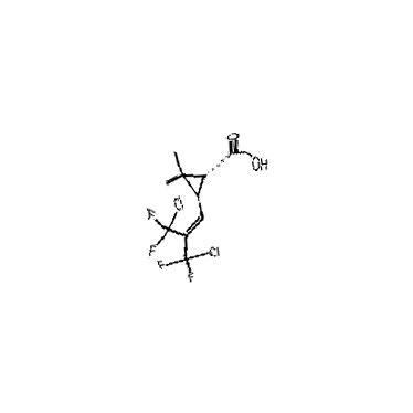 CC1(C)[C@H](C=C(C(F)(F)Cl)C(F)(F)Cl)[C@H]1C(=O)O